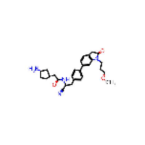 COCCCN1C(=O)Cc2ccc(-c3ccc(CC(C#N)NC(=O)C[C@H]4CC[C@@H](N)C4)cc3)cc21